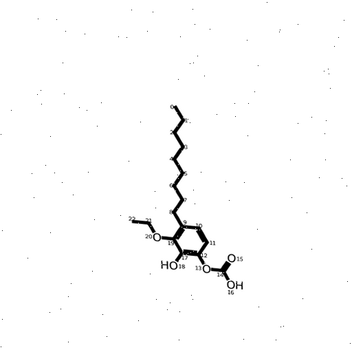 CCCCCCCCCc1ccc(OC(=O)O)c(O)c1OCC